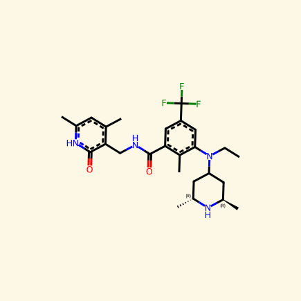 CCN(c1cc(C(F)(F)F)cc(C(=O)NCc2c(C)cc(C)[nH]c2=O)c1C)C1C[C@@H](C)N[C@H](C)C1